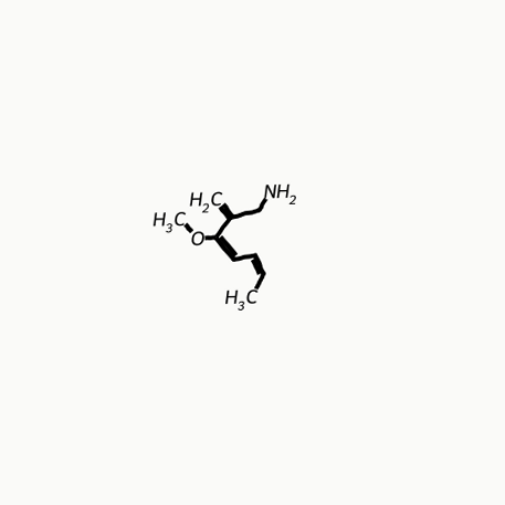 C=C(CN)/C(=C\C=C/C)OC